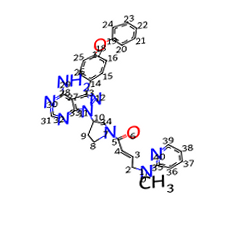 CN(CC=CC(=O)N1CCC(n2nc(-c3ccc(Oc4ccccc4)cc3)c3c(N)ncnc32)C1)c1ccccn1